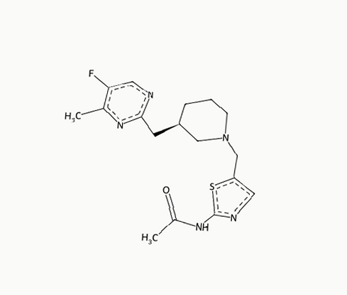 CC(=O)Nc1ncc(CN2CCC[C@H](Cc3ncc(F)c(C)n3)C2)s1